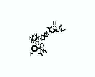 CCN(CC)C[C@H](O)CC(C(C)C)N1CC2(CCN(c3ncnnc3Oc3ccc(F)cc3C(=O)N(CC)C(C)C)C2)C1